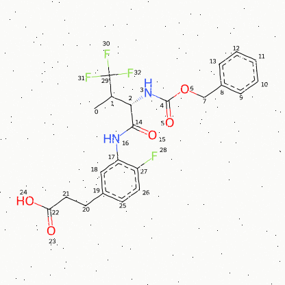 CC([C@H](NC(=O)OCc1ccccc1)C(=O)Nc1cc(CCC(=O)O)ccc1F)C(F)(F)F